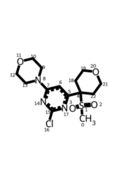 CS(=O)(=O)C1(c2cc(N3CCOCC3)nc(Cl)n2)CCOCC1